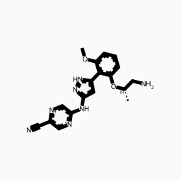 COc1cccc(O[C@@H](C)CN)c1-c1cc(Nc2cnc(C#N)cn2)n[nH]1